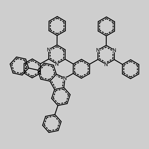 c1ccc(-c2ccc3c(c2)c2cc(-c4ccccc4)ccc2n3-c2ccc(-c3nc(-c4ccccc4)nc(-c4ccccc4)n3)cc2-c2cc(-c3ccccc3)nc(-c3ccccc3)n2)cc1